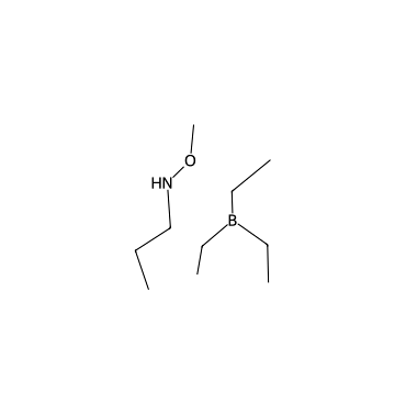 CCB(CC)CC.CCCNOC